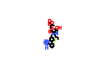 CCCc1nc(C(C)(C)O)c(C(=O)OCc2oc(=O)oc2C)n1Cc1ccc(-c2ccccc2-c2nnn[nH]2)c(F)c1